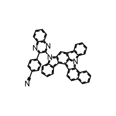 N#Cc1ccc(-c2nc3ccccc3nc2-n2c3ccccc3c3c4c5ccc6ccccc6c5n5c6ccccc6c(cc32)c45)cc1